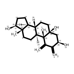 C=C1C(=C)[C@]2(C)[C@H]3CC[C@]4(C)[C@@H](O)CC[C@H]4[C@@H]3CC[C@]2(O)C[C@H]1O